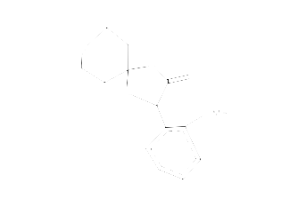 COc1ccccc1C1OC2(CCOCC2)OC1=O